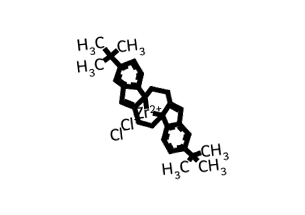 CC(C)(C)c1ccc2c(c1)C=C1CC[C]34[Zr+2][C]12CCC3=Cc1cc(C(C)(C)C)ccc14.[Cl-].[Cl-]